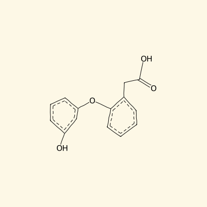 O=C(O)Cc1ccccc1Oc1cccc(O)c1